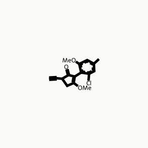 C#CC1CC(OC)=C(c2c(Cl)cc(C)cc2OC)C1=O